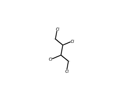 Cl[CH]C(Cl)C(Cl)[CH]Cl